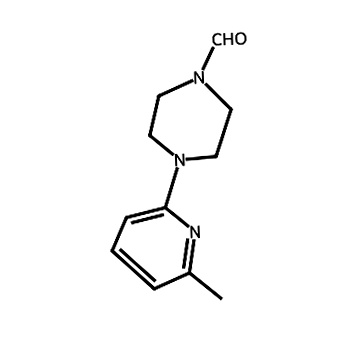 Cc1cccc(N2CCN(C=O)CC2)n1